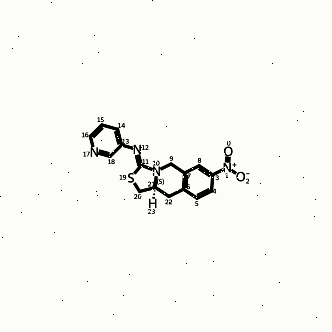 O=[N+]([O-])c1ccc2c(c1)CN1C(=Nc3cccnc3)SC[C@@H]1C2